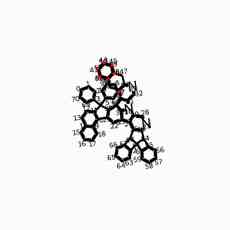 c1ccc(C2(c3ccccc3)c3ccc4ccccc4c3-c3cc4c5c6c(ncc5n5c7cnc8c(c7c(c32)c45)C2c3ccccc3C8c3ccccc32)C2c3ccccc3C23c2ccccc2C63)cc1